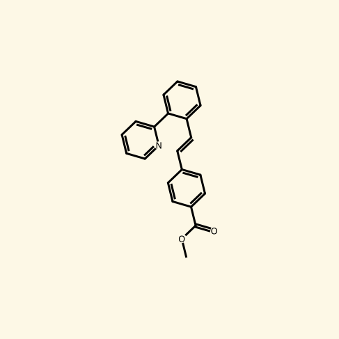 COC(=O)c1ccc(C=Cc2ccccc2-c2ccccn2)cc1